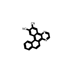 N#Cc1cc2c(cc1C#N)c1c3ccccc3ccc1c1nccnc21